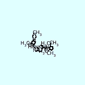 COc1cc(N2CCN(C)CC2)ccc1Nc1ncc2c(n1)-n1ccc(C(=O)Nc3c(C(C)C)cccc3C(C)C)c1CC2